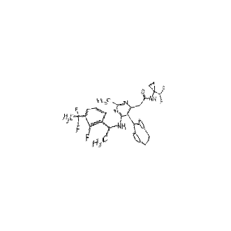 Cc1nc(CC(=O)NC2(C(F)F)CC2)c(C2OCCO2)c(NC(C)c2cccc(C(C)(F)F)c2F)n1